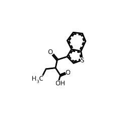 CCC(C(=O)O)C(=O)c1csc2ccccc12